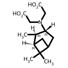 C[C@H]1[C@H](N(CC(=O)O)CC(=O)O)CC2C[C@H]1C2(C)C